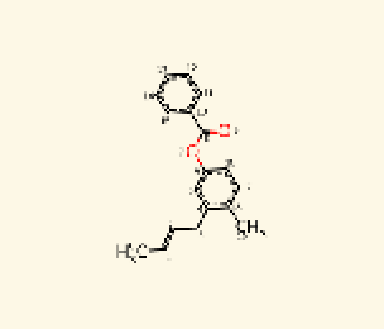 CC=CCc1cc(OC(=O)c2ccccc2)ccc1C